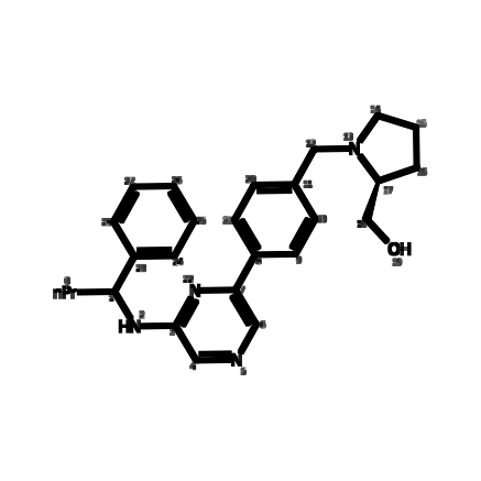 CCCC(Nc1cncc(-c2ccc(CN3CCC[C@H]3CO)cc2)n1)c1ccccc1